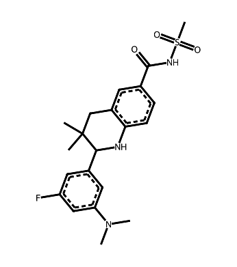 CN(C)c1cc(F)cc(C2Nc3ccc(C(=O)NS(C)(=O)=O)cc3CC2(C)C)c1